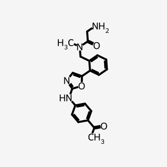 CC(=O)c1ccc(Nc2ncc(-c3ccccc3CN(C)C(=O)CN)o2)cc1